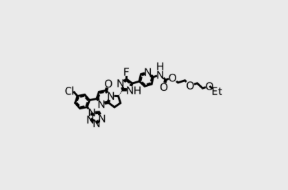 CCOCCOCCOC(=O)Nc1ccc(-c2[nH]c([C@@H]3CCc4nc(-c5cc(Cl)ccc5-n5cnnn5)cc(=O)n43)nc2F)cn1